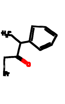 [CH2]C(C(=O)CC(C)C)c1ccccc1